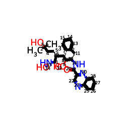 CC(C)(O)CC[C@H](C[C@H](O)[C@H](Cc1ccccc1)NC(=O)c1cnc2ccccc2n1)C(=O)NO